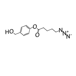 [N-]=[N+]=NCCCCC(=O)Oc1ccc(CO)cc1